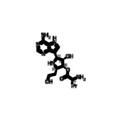 CC(C)[C@H](N)C(=O)O[C@H]1[C@@H](O)[C@H](c2c[nH]c3c(N)ncnc23)N[C@@H]1CCO